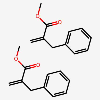 C=C(Cc1ccccc1)C(=O)OC.C=C(Cc1ccccc1)C(=O)OC